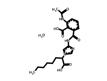 CCCCCCC(C(=O)O)n1cnc(NC(=O)c2cccc(NC(C)=O)c2C(=O)O)c1.O